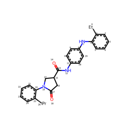 CCc1ccccc1Nc1ccc(NC(=O)C2CC(=O)N(c3ccccc3C(C)C)C2)cc1